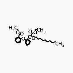 CCCCCCCCCCOC(Cc1ccccc1Oc1ccccc1C(=O)OCC)C(=O)OCC